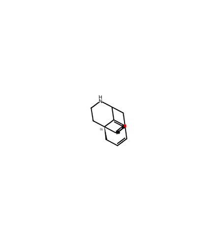 C1=CC[C@]23CCNC(Cc4ccccc42)C3=C1